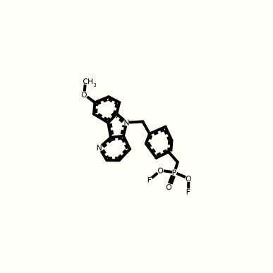 COc1ccc2c(c1)c1ncccc1n2Cc1ccc(CP(=O)(OF)OF)cc1